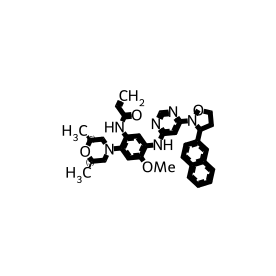 C=CC(=O)Nc1cc(Nc2cc(N3OCCC3c3ccc4ccccc4c3)ncn2)c(OC)cc1N1C[C@H](C)O[C@@H](C)C1